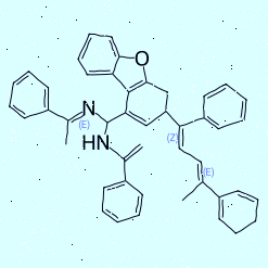 C=C(NC(/N=C(\C)c1ccccc1)C1=CC(/C(=C/C=C(\C)C2=CCCC=C2)c2ccccc2)Cc2oc3ccccc3c21)c1ccccc1